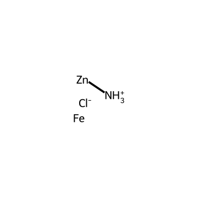 [Cl-].[Fe].[NH3+][Zn]